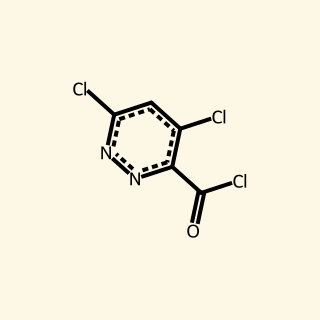 O=C(Cl)c1nnc(Cl)cc1Cl